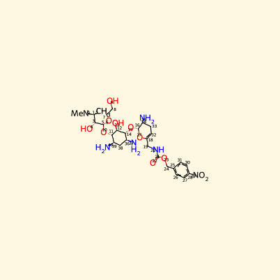 CN[C@@H](C)[C@@H](O)[C@H](OCCO)O[C@@H]1[C@@H](O)[C@H](O[C@H]2OC(CNC(=O)OCc3ccc([N+](=O)[O-])cc3)=CC[C@H]2N)[C@@H](N)C[C@H]1N